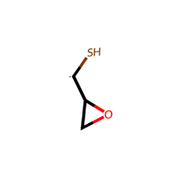 S[CH]C1CO1